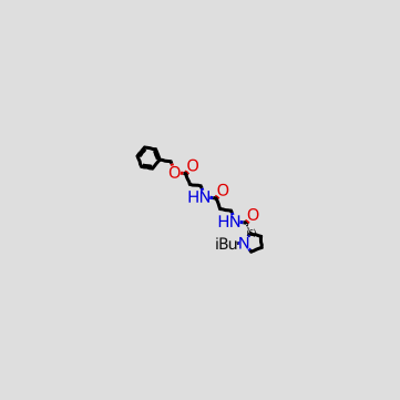 CCC(C)N1CCC[C@H]1C(=O)NCCC(=O)NCCC(=O)OCc1ccccc1